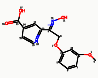 COc1cccc(OC/C(=N\O)c2cc(C(=O)O)ccn2)c1